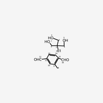 CCC(CO)(CO)CO.Cc1cc(C=O)ccc1C=O